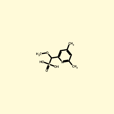 COC(c1cc(C)cc(C)n1)P(=O)(O)O